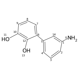 Nc1cccc(-c2cccc(O)c2O)c1